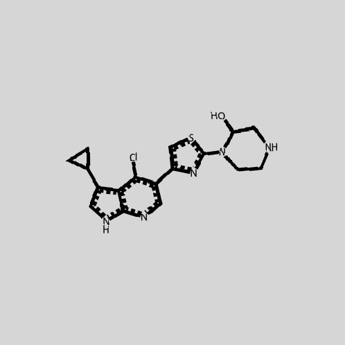 OC1CNCCN1c1nc(-c2cnc3[nH]cc(C4CC4)c3c2Cl)cs1